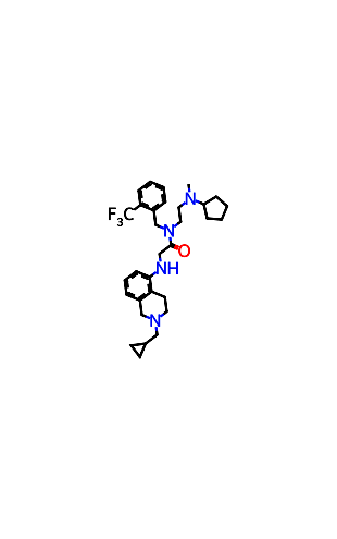 CN(CCN(Cc1ccccc1C(F)(F)F)C(=O)CNc1cccc2c1CCN(CC1CC1)C2)C1CCCC1